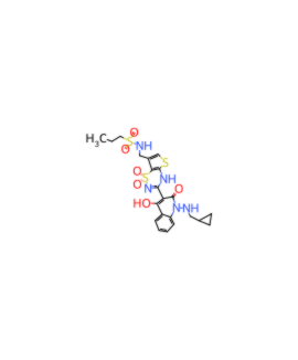 CCCS(=O)(=O)NCc1csc2c1S(=O)(=O)N=C(c1c(O)c3ccccc3n(NCC3CC3)c1=O)N2